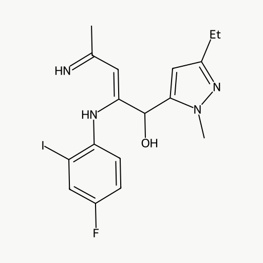 CCc1cc(C(O)/C(=C/C(C)=N)Nc2ccc(F)cc2I)n(C)n1